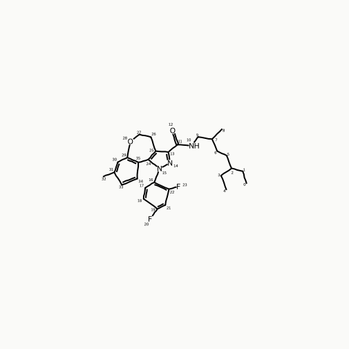 CCC(CC)CCC(C)CNC(=O)c1nn(-c2ccc(F)cc2F)c2c1CCOc1cc(C)ccc1-2